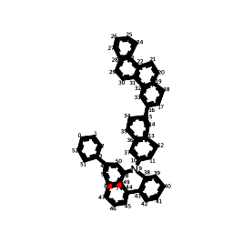 c1ccc(-c2cccc(N(c3ccc4cc(-c5ccc6ccc7c8ccccc8ccc7c6c5)ccc4c3)c3ccccc3-c3ccccc3)c2)cc1